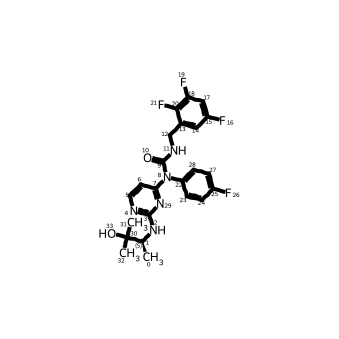 C[C@H](Nc1nccc(N(C(=O)NCc2cc(F)cc(F)c2F)c2ccc(F)cc2)n1)C(C)(C)O